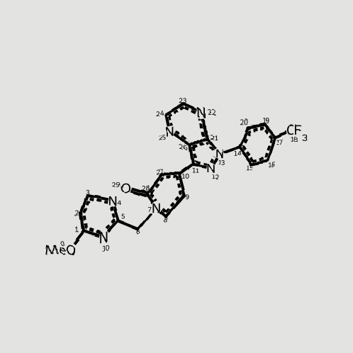 COc1ccnc(Cn2ccc(-c3nn(-c4ccc(C(F)(F)F)cc4)c4nccnc34)cc2=O)n1